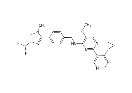 COc1cnc(-c2cncnc2C2CC2)nc1NCc1ccc(-c2nc(C(F)F)cn2C)cc1